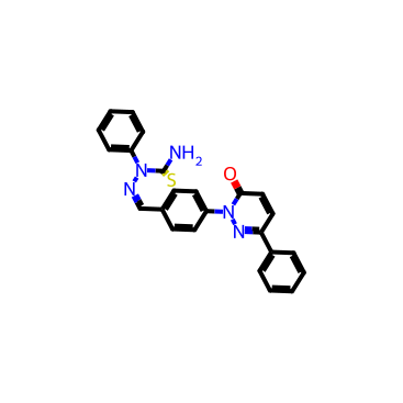 NC(=S)N(/N=C\c1ccc(-n2nc(-c3ccccc3)ccc2=O)cc1)c1ccccc1